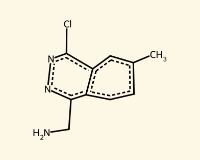 Cc1ccc2c(CN)nnc(Cl)c2c1